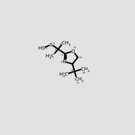 CC(C)(SS)C1=NC(C(C)(C)C)CO1